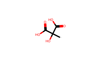 [CH2]C(O)(C(=O)O)C(=O)O